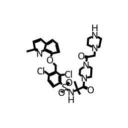 Cc1ccc2cccc(OCc3c(Cl)ccc(S(=O)(=O)NC(C)(C)C(=O)N4CCN(C(=O)CN5CCNCC5)CC4)c3Cl)c2n1